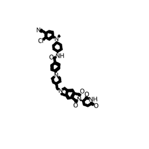 CN(c1ccc(C#N)c(Cl)c1)[C@H]1CC[C@H](NC(=O)c2ccc(N3CCC(CN4Cc5cc6c(cc5C4)C(=O)N([C@@H]4CCC(=O)NC4=O)C6=O)CC3)cc2)CC1